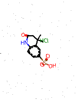 CC1(C)CC(=O)Nc2ccc(S(=O)(=O)O)cc21.Cl